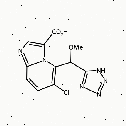 COC(c1nnn[nH]1)c1c(Cl)ccc2ncc(C(=O)O)n12